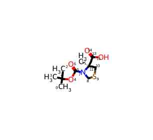 CC(C)(C)OC(=O)N1CSC[C@]1(C)C(=O)O